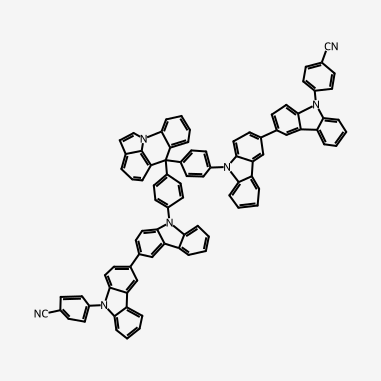 N#Cc1ccc(-n2c3ccccc3c3cc(-c4ccc5c(c4)c4ccccc4n5-c4ccc(C5(c6ccc(-n7c8ccccc8c8cc(-c9ccc%10c(c9)c9ccccc9n%10-c9ccc(C#N)cc9)ccc87)cc6)c6ccccc6-n6ccc7cccc5c76)cc4)ccc32)cc1